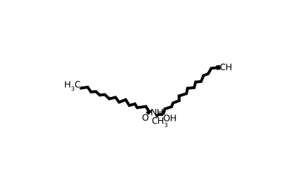 C#CCCCCCCCCCCCCCC(O)C(C)NC(=O)CCCCCCCCCCCCCCC